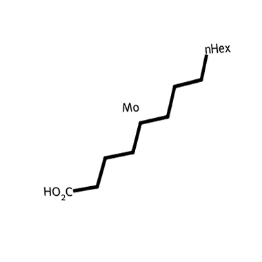 CCCCCCCCCCCCCC(=O)O.[Mo]